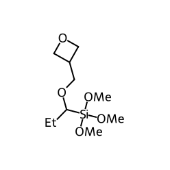 CCC(OCC1COC1)[Si](OC)(OC)OC